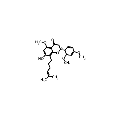 COC1=CC(OC)C([C@@H]2CC(=O)c3c(OC)cc(O)c(CCCC=C(C)C)c3O2)C=C1